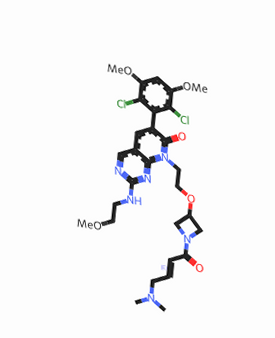 COCCNc1ncc2cc(-c3c(Cl)c(OC)cc(OC)c3Cl)c(=O)n(CCOC3CN(C(=O)/C=C/CN(C)C)C3)c2n1